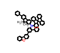 CC1(C)c2cc(-c3ccccc3)ccc2-c2ccc(N(c3ccc(C4=CC5c6ccccc6OC5C=C4)cc3-c3ccccc3)c3cccc4c3-c3ccccc3C43c4ccccc4-c4ccccc43)cc21